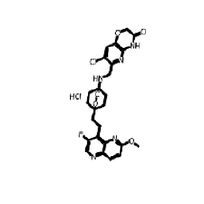 COc1ccc2ncc(F)c(CCC34CCC(NCc5nc6c(cc5Cl)OCC(=O)N6)(CC3)CO4)c2n1.Cl